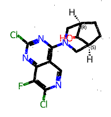 OC1[C@@H]2CC[C@H]1CN(c1nc(Cl)nc3c(F)c(Cl)ncc13)C2